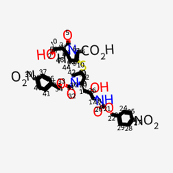 C[C@@H](O)[C@H]1C(=O)N2C(C(=O)O)=C(S[C@H]3C[C@@H](CC(O)CNC(=O)OCc4ccc([N+](=O)[O-])cc4)N(C(=O)OCc4ccc([N+](=O)[O-])cc4)C3)[C@H](C)[C@H]12